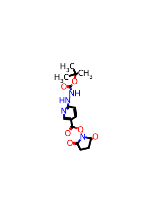 CC(C)(C)OC(=O)NNc1ccc(C(=O)ON2C(=O)CCC2=O)cn1